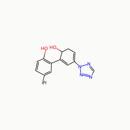 CC(C)c1c[c]c(O)c(C2=CC(n3ncnn3)=CCC2O)c1